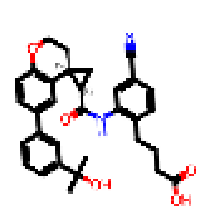 CC(C)(O)c1cccc(-c2ccc3c(c2)[C@]2(CCO3)C[C@H]2C(=O)Nc2cc(C#N)ccc2CCCC(=O)O)c1